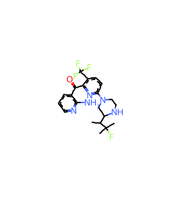 CC(C1CN(c2ccc(C(F)(F)F)c(C(=O)c3cccnc3N)n2)CCN1)C(C)(C)F